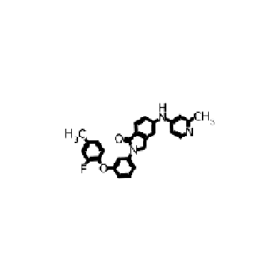 Cc1ccc(Oc2cccc(N3Cc4cc(Nc5ccnc(C)c5)ccc4C3=O)c2)c(F)c1